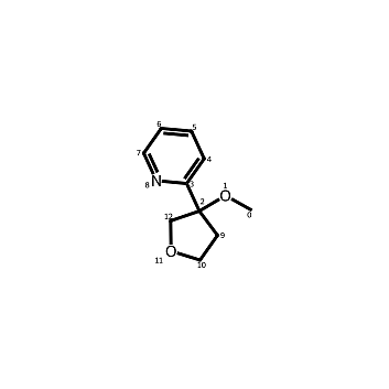 COC1(c2ccccn2)CCOC1